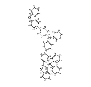 c1ccc(N(c2ccc(-c3ccc4c(c3)C(c3ccccc3)(c3ccccc3)c3c-4sc4ccccc34)cc2)c2ccc(-c3ccc4oc5ccccc5c4c3)cc2)cc1